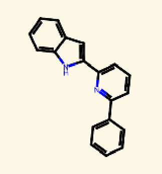 c1ccc(-c2cccc(-c3cc4ccccc4[nH]3)n2)cc1